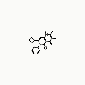 C=C1C(C)=C(C)N(C)c2cc(C3CCC3)n(-c3ccccc3)c(=O)c21